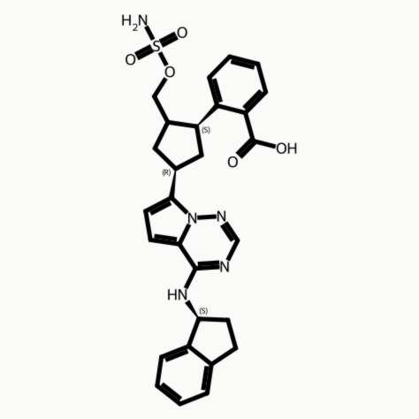 NS(=O)(=O)OCC1C[C@H](c2ccc3c(N[C@H]4CCc5ccccc54)ncnn23)C[C@@H]1c1ccccc1C(=O)O